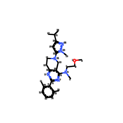 COCCN(C)c1nc(-c2c(C)cccc2C)nc2c1CN(c1cc(C(C)C)nn1C)CC2